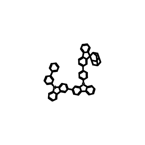 c1ccc(-c2cccc(-n3c4ccccc4c4cc(-c5ccc6c7ccccc7n(-c7ccc(-c8ccc9c(c8)C8(c%10ccccc%10-9)C9CC%10CC(C9)CC8C%10)cc7)c6c5)ccc43)c2)cc1